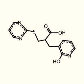 O=C(O)C(CSc1ncccn1)Cc1cccnc1O